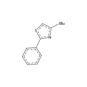 CC(C)(C)c1csc(-c2ccccc2)n1